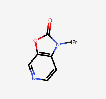 CC(C)n1c(=O)oc2cnccc21